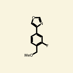 COCc1ccc(-c2cocn2)cc1F